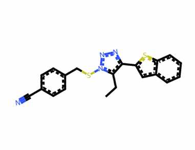 CCc1c(-c2cc3ccccc3s2)nnn1SCc1ccc(C#N)cc1